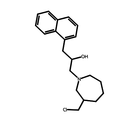 OC(Cc1cccc2ccccc12)CN1CCCCC(CCl)C1